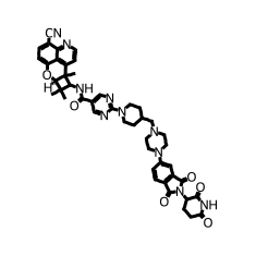 CC1(C)C(NC(=O)c2cnc(N3CCC(CN4CCN(c5ccc6c(c5)C(=O)N(C5CCC(=O)NC5=O)C6=O)CC4)CC3)nc2)C2(C)c3ccnc4c(C#N)ccc(c34)O[C@@H]12